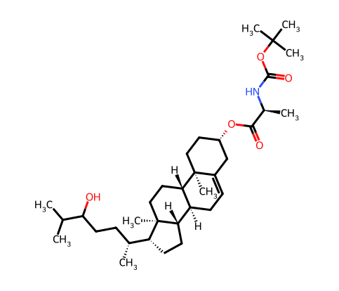 CC(C)C(O)CC[C@@H](C)[C@H]1CC[C@H]2[C@@H]3CC=C4C[C@@H](OC(=O)[C@H](C)NC(=O)OC(C)(C)C)CC[C@]4(C)[C@H]3CC[C@]12C